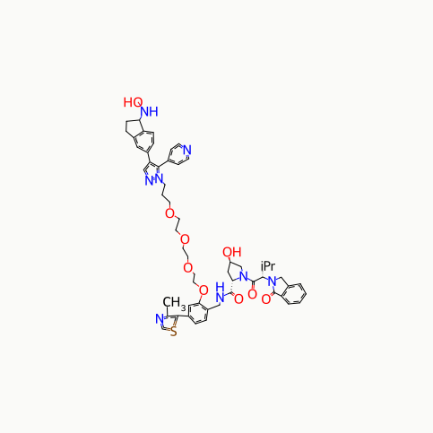 Cc1ncsc1-c1ccc(CNC(=O)[C@@H]2C[C@@H](O)CN2C(=O)[C@H](C(C)C)N2Cc3ccccc3C2=O)c(OCCOCCOCCOCCCn2ncc(-c3ccc4c(c3)CCC4NO)c2-c2ccncc2)c1